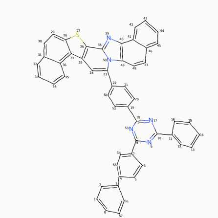 c1ccc(-c2ccc(-c3nc(-c4ccccc4)nc(-c4ccc(-c5cc6c(sc7ccc8ccccc8c76)c6nc7c8ccccc8ccc7n56)cc4)n3)cc2)cc1